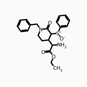 CCOC(=O)C(N)C1CCN(Cc2ccccc2)C(=O)C1[S+]([O-])c1ccccc1